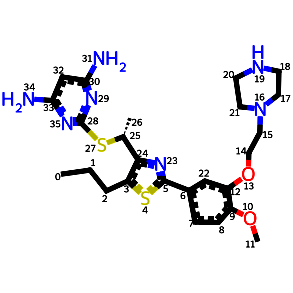 CCCc1sc(-c2ccc(OC)c(OCCN3CCNCC3)c2)nc1[C@@H](C)Sc1nc(N)cc(N)n1